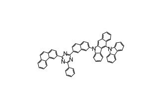 c1ccc(-c2nc(-c3ccc4ccc(-n5c6ccccc6c6c(-n7c8ccccc8c8ccccc87)c7ccccc7cc65)cc4c3)nc(-c3ccc4ccc5ccccc5c4c3)n2)cc1